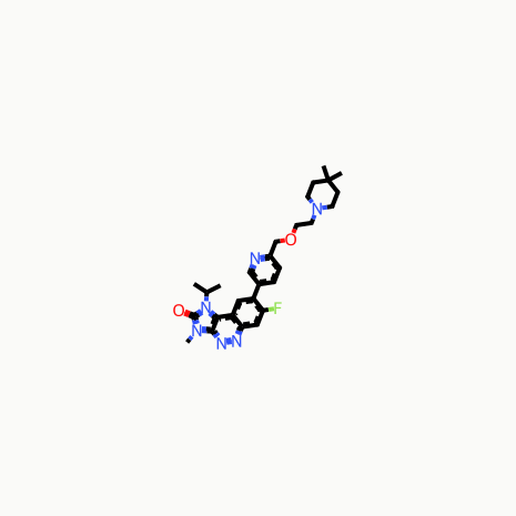 CC(C)n1c(=O)n(C)c2nnc3cc(F)c(-c4ccc(COCCN5CCC(C)(C)CC5)nc4)cc3c21